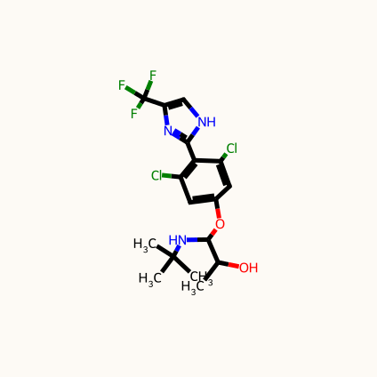 CC(O)C(NC(C)(C)C)Oc1cc(Cl)c(-c2nc(C(F)(F)F)c[nH]2)c(Cl)c1